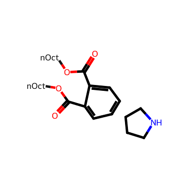 C1CCNC1.CCCCCCCCOC(=O)c1ccccc1C(=O)OCCCCCCCC